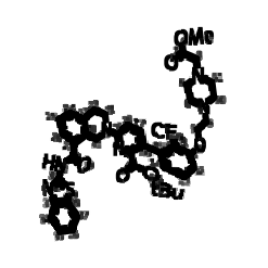 COC(=O)CN1CCN(CCOc2cccc(-c3ccc(N4CCc5cccc(C(=O)Nc6nc7ccccc7s6)c5C4)nc3C(=O)OC(C)(C)C)c2C(F)(F)F)CC1